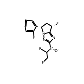 [O-][S@@+](c1nc2n(n1)[C@H](c1ccccc1F)C[C@@H]2F)C(F)CF